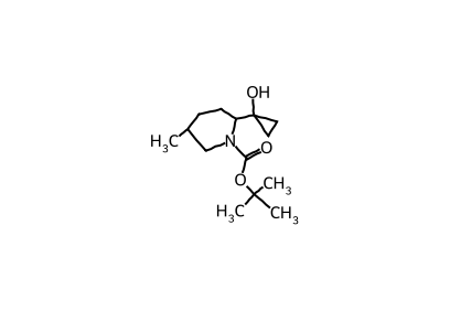 CC1CCC(C2(O)CC2)N(C(=O)OC(C)(C)C)C1